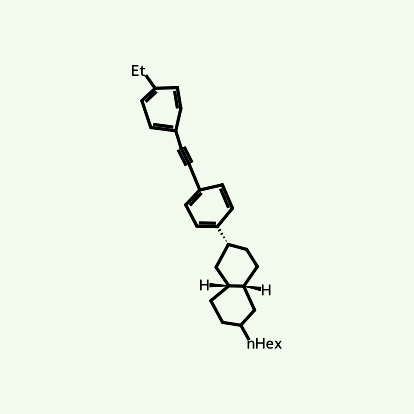 CCCCCCC1CC[C@@H]2C[C@H](c3ccc(C#Cc4ccc(CC)cc4)cc3)CC[C@@H]2C1